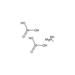 O=[Se](O)O.O=[Se](O)O.[KH].[MgH2]